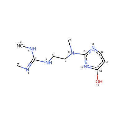 CN=C(NC#N)NCCN(C)c1nccc(O)n1